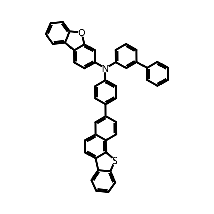 c1ccc(-c2cccc(N(c3ccc(-c4ccc5c(ccc6c7ccccc7sc56)c4)cc3)c3ccc4c(c3)oc3ccccc34)c2)cc1